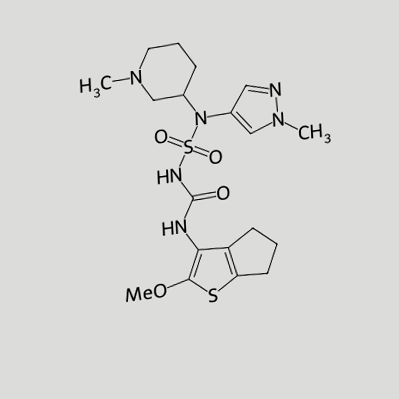 COc1sc2c(c1NC(=O)NS(=O)(=O)N(c1cnn(C)c1)C1CCCN(C)C1)CCC2